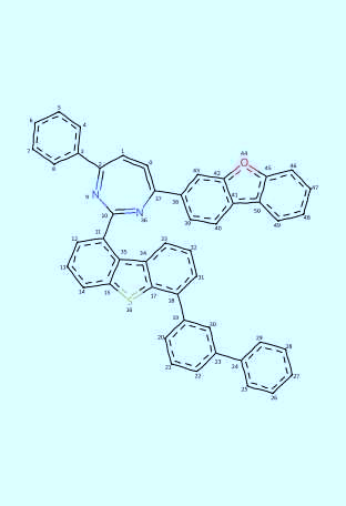 C1=CC(c2ccccc2)=NC(c2cccc3sc4c(-c5cccc(-c6ccccc6)c5)cccc4c23)=NC=1c1ccc2c(c1)oc1ccccc12